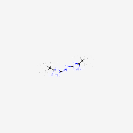 O=[N+]([O-])C(c1nc(/N=N/c2n[nH]c(C([N+](=O)[O-])([N+](=O)[O-])[N+](=O)[O-])n2)n[nH]1)([N+](=O)[O-])[N+](=O)[O-]